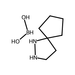 C1CCC2(C1)CCNN2.OBO